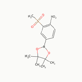 CC1(C)OB(c2ccc([N+](=O)[O-])c(S(C)(=O)=O)c2)OC1(C)C